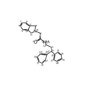 O=C(CN1Cc2ccccc2C1)NCCC(c1ccccc1)c1ccccc1